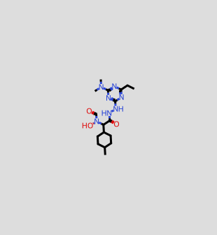 CCc1nc(NNC(=O)C(C2CCC(C)CC2)N(O)C=O)nc(N(C)C)n1